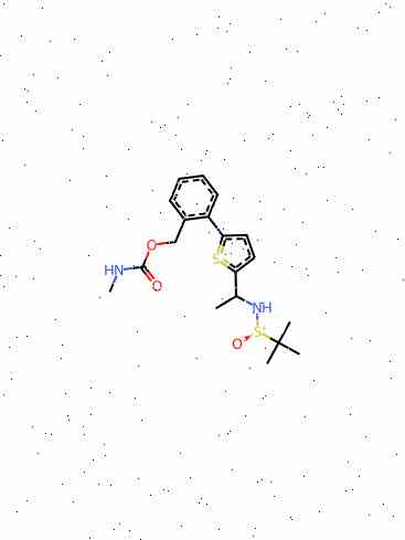 CNC(=O)OCc1ccccc1-c1ccc(C(C)N[S@+]([O-])C(C)(C)C)s1